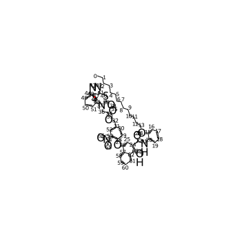 CCCCCCCCCCCCCCOc1ccccc1NC(=O)c1cc(Oc2ccc(COC(=O)CN(C(=O)Sc3nncs3)c3ccccc3)cc2[N+](=O)[O-])c2ccccc2c1O